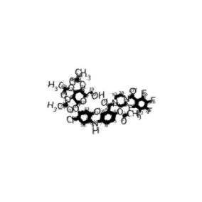 CC(=O)Oc1ccc2c(c1C(=O)N1CCN(C(=O)c3c(F)c(F)c(F)c(F)c3F)CC1)Oc1cc(O[C@@H]3O[C@H](CO)[C@H](OC(C)=O)[C@H](OC(C)=O)[C@H]3OC(C)=O)c(Cl)cc1N2